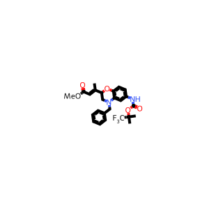 COC(=O)C=C(C)C1CN(Cc2ccccc2)c2cc(NC(=O)OC(C)(C)C(F)(F)F)ccc2O1